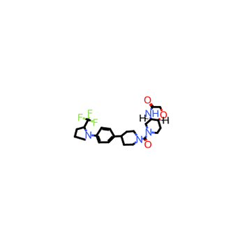 O=C1CO[C@H]2CCN(C(=O)N3CCC(c4ccc(N5CCCC5C(F)(F)F)cc4)CC3)C[C@H]2N1